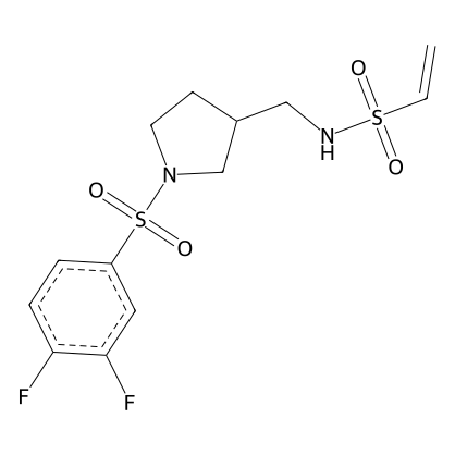 C=CS(=O)(=O)NCC1CCN(S(=O)(=O)c2ccc(F)c(F)c2)C1